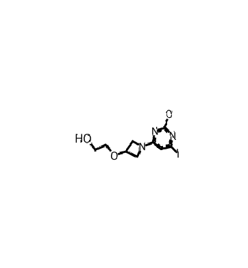 COc1nc(I)cc(N2CC(OCCO)C2)n1